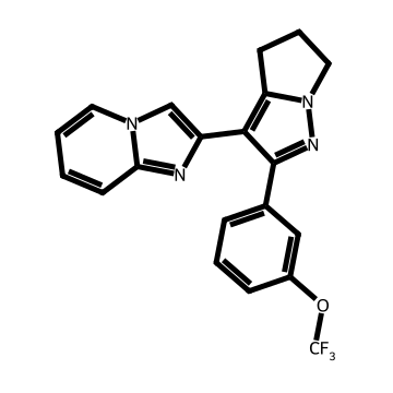 FC(F)(F)Oc1cccc(-c2nn3c(c2-c2cn4ccccc4n2)CCC3)c1